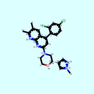 Cc1cc2c(-c3ccc(Cl)cc3F)cc(N3CCO[C@@H](c4cnn(C)c4)C3)nc2nc1C